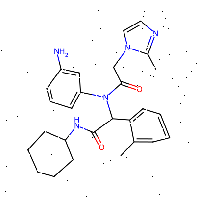 Cc1ccccc1C(C(=O)NC1CCCCC1)N(C(=O)Cn1ccnc1C)c1cccc(N)c1